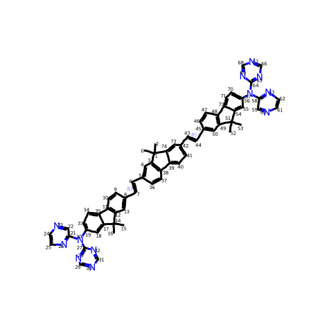 CC1(C)c2cc(/C=C/c3ccc4c(c3)C(C)(C)c3cc(N(c5cnccn5)c5ncncn5)ccc3-4)ccc2-c2ccc(/C=C/c3ccc4c(c3)C(C)(C)c3cc(N(c5cnccn5)c5ncncn5)ccc3-4)cc21